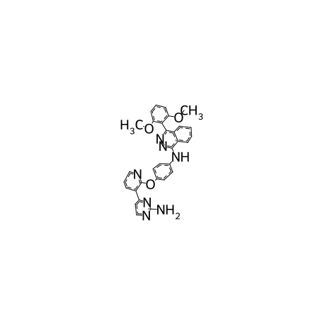 COc1cccc(OC)c1-c1nnc(Nc2ccc(Oc3ncccc3-c3ccnc(N)n3)cc2)c2ccccc12